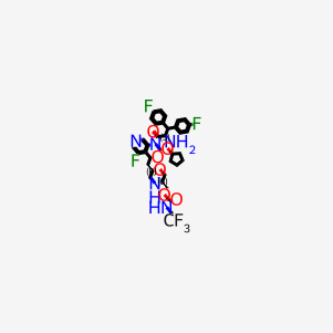 N[C@H](C(=O)N(C(=O)OC1CCCC1)c1cncc(F)c1CC[C@@H]1CN[C@H](COC(=O)NCC(F)(F)F)CO1)C(c1ccc(F)cc1)c1ccc(F)cc1